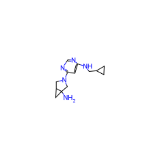 NC12CC1CN(c1cc(NCC3CC3)ncn1)C2